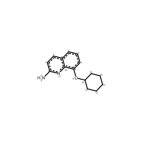 Nc1ccc2cccc(OC3CCCCC3)c2n1